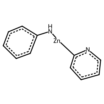 c1ccc([NH][Zn][c]2ccccn2)cc1